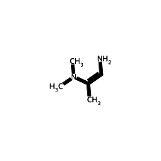 CC(=CN)N(C)C